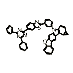 C1=c2ccc3c(c2=1)c1cc2c(cc1n3-c1cccc(-c3nc4ccc(-c5nc(-c6ccccc6)nc(-c6ccccc6)n5)cc4s3)c1)oc1ccccc12